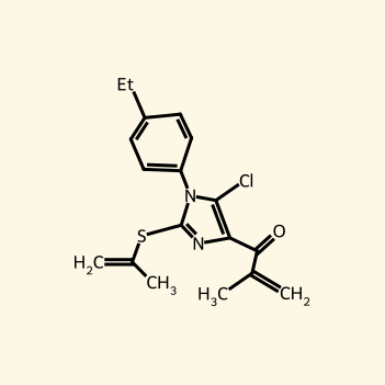 C=C(C)Sc1nc(C(=O)C(=C)C)c(Cl)n1-c1ccc(CC)cc1